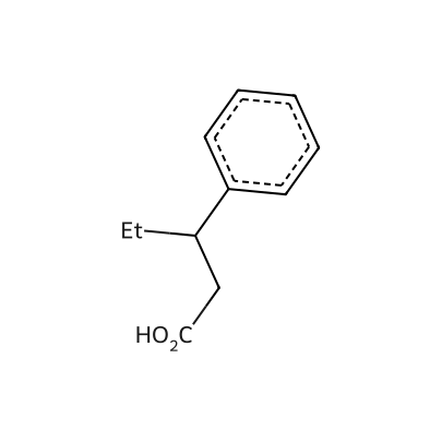 CCC(CC(=O)O)c1ccccc1